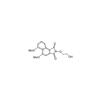 COc1cccc2c3c(cc(OC)c12)C(=O)N(OCCO)C3=O